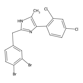 Cc1[nH]c(Cc2ccc(Br)c(Br)c2)nc1-c1ccc(Cl)cc1Cl